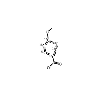 CO[13c]1[13cH][13cH][13c]([N+](=O)[O-])[13cH][13cH]1